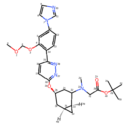 COCOc1cc(-n2ccnc2)ccc1-c1ccc(O[C@H]2CC(N(C)CC(=O)OC(C)(C)C)[C@H]3C[C@H]3C2)nn1